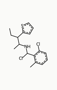 CCC(c1cccs1)C(C)NC(Cl)c1c(C)cccc1Cl